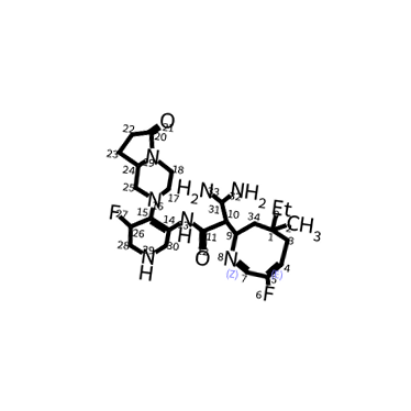 CCC1(C)C/C=C(F)\C=N/C(C(C(=O)NC2=C(N3CCN4C(=O)CCC4C3)C(F)CNC2)C(N)N)C1